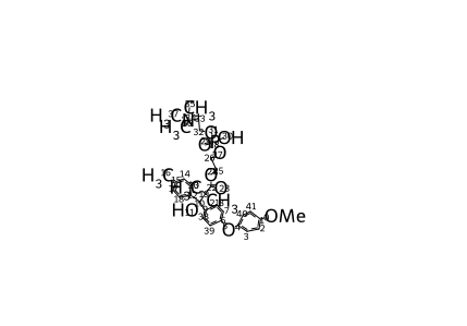 COc1ccc(Oc2ccc(C(O)(c3ccc(C)cc3)C(C)(C)C(=O)OCCOP(=O)(O)OCC[N+](C)(C)C)cc2)cc1